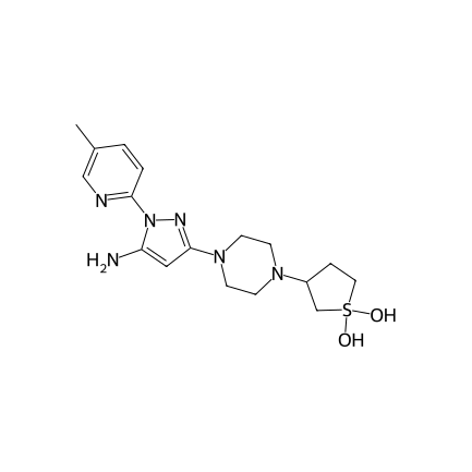 Cc1ccc(-n2nc(N3CCN(C4CCS(O)(O)C4)CC3)cc2N)nc1